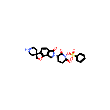 O=C1CC[C@H](N2Cc3c(ccc4c3OCC43CCNCC3)C2=O)C(=O)N1OS(=O)(=O)c1ccccc1